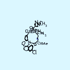 COC1/C=C/CC(C)C(C)S(=O)(NC(=O)c2cnn(C)c2)=NC(=O)c2ccc3c(c2)N(CC2CCC21)CC1(CCCc2cc(Cl)ccc21)CO3